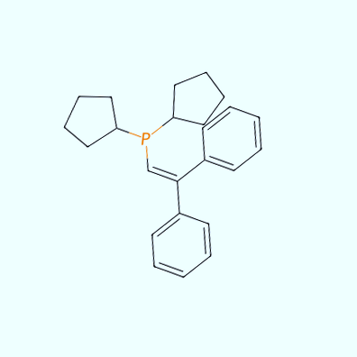 C(=C(c1ccccc1)c1ccccc1)P(C1CCCC1)C1CCCC1